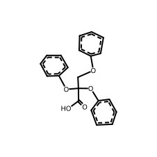 O=C(O)C(COc1ccccc1)(Oc1ccccc1)Oc1ccccc1